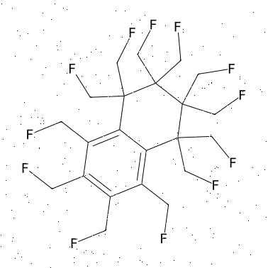 FCc1c(CF)c(CF)c2c(c1CF)C(CF)(CF)C(CF)(CF)C(CF)(CF)C2(CF)CF